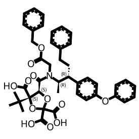 C[C@H]([C@H](CCc1ccccc1)c1ccc(Oc2ccccc2)cc1)N(CC(=O)OCc1ccccc1)C(=O)[C@H]1OC(C(=O)O)(C(=O)O)O[C@@]1(C(=O)O)C(C)(C)C